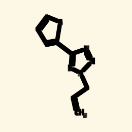 C=CCn1nnc(-c2cc[c]s2)n1